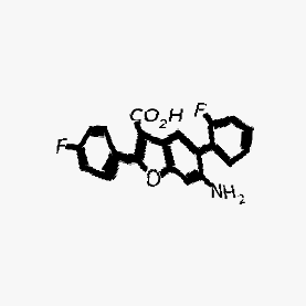 Nc1cc2oc(-c3ccc(F)cc3)c(C(=O)O)c2cc1-c1ccccc1F